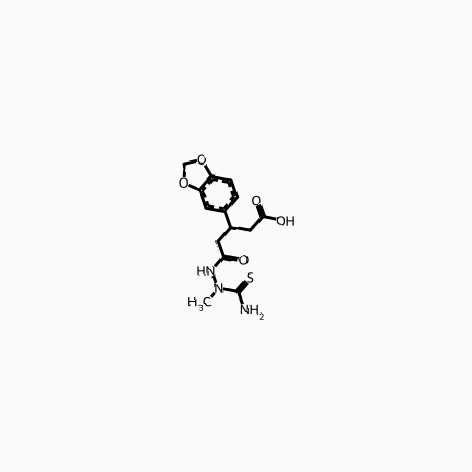 CN(NC(=O)CC(CC(=O)O)c1ccc2c(c1)OCO2)C(N)=S